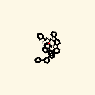 c1ccc(-c2cccc(-c3cccc(-c4ccccc4-n4c5ccccc5c5ccc6c7ccccc7n(-c7nc(-c8ccccc8)nc(-c8cccc(-c9ccccc9)c8)n7)c6c54)c3)c2)cc1